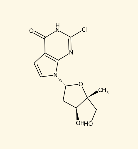 C[C@]1(CO)O[C@@H](n2ccc3c(=O)[nH]c(Cl)nc32)C[C@@H]1O